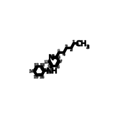 CCCCCCc1ccc(Nc2ccccc2)cn1